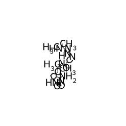 CNC(C)c1cn(-c2cc(C(=O)NC(C)(C)COc3cccc4c3C(N)=NS(=O)(=O)N4)ccn2)cn1